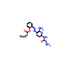 CNCC(=O)Oc1ccccc1/N=N/c1ccc(NC(=O)CN)nc1N